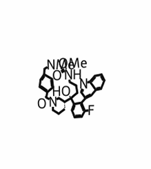 CNCc1ccc(C(=O)N2CCC[C@@H]([C@@](O)(CCCNC(=O)OC)c3cccc(F)c3-c3cnc4ccccc4c3)C2)cc1